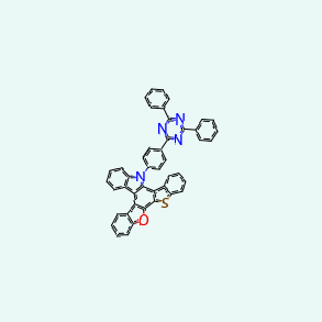 c1ccc(-c2nc(-c3ccccc3)nc(-c3ccc(-n4c5ccccc5c5c6c7ccccc7oc6c6sc7ccccc7c6c54)cc3)n2)cc1